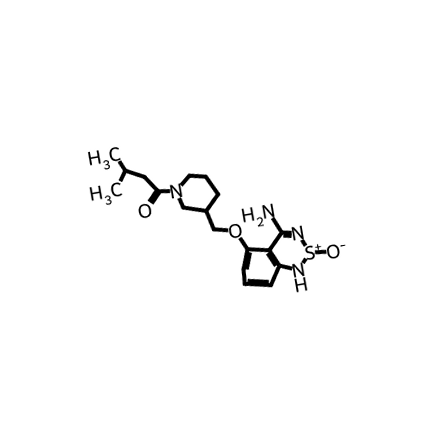 CC(C)CC(=O)N1CCCC(COc2cccc3c2C(N)=N[S+]([O-])N3)C1